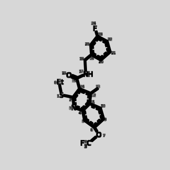 CCSc1nc2cc(OC(F)(F)F)ccc2c(C)c1C(=O)NCc1cccc(F)c1